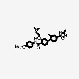 COc1ccc(NC(=O)c2ccc(-c3ccc(-c4nc(C)no4)cc3C)cc2OCCN(C)C)cc1